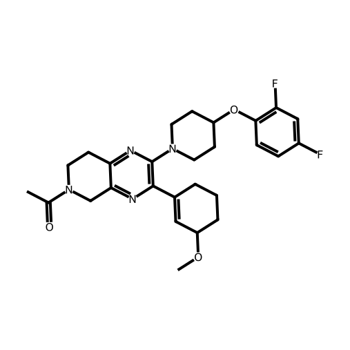 COC1C=C(c2nc3c(nc2N2CCC(Oc4ccc(F)cc4F)CC2)CCN(C(C)=O)C3)CCC1